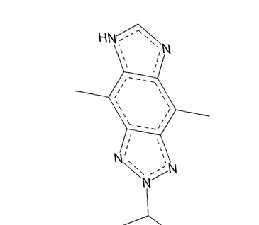 Cc1c2nn(C(C)C)nc2c(C)c2[nH]cnc12